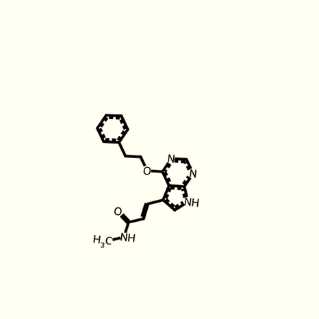 CNC(=O)C=Cc1c[nH]c2ncnc(OCCc3ccccc3)c12